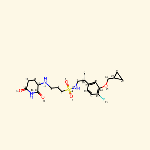 C[C@@H](CNS(=O)(=O)CCCNC1CCC(=O)NC1=O)c1ccc(F)c(OCC2CC2)c1